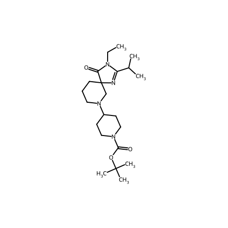 CCN1C(=O)C2(CCCN(C3CCN(C(=O)OC(C)(C)C)CC3)C2)N=C1C(C)C